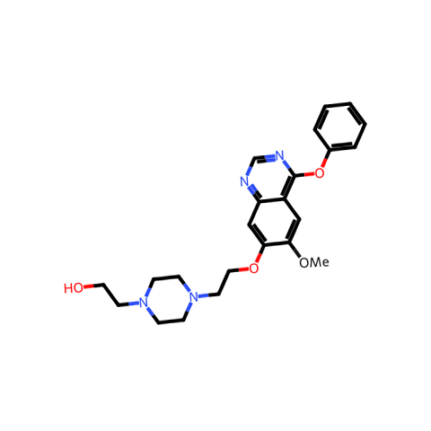 COc1cc2c(Oc3ccccc3)ncnc2cc1OCCN1CCN(CCO)CC1